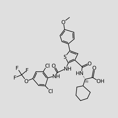 COc1ccc(-c2cc(C(=O)N[C@H](C(=O)O)C3CCCCC3)c(NC(=O)Nc3c(Cl)cc(OC(F)(F)F)cc3Cl)s2)cc1